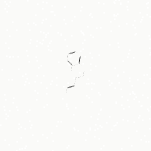 O=C(O)C=CC1COc2ccccc2O1